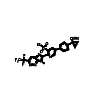 CCS(=O)(=O)c1cc(-c2ccc(C3(OC)CC3)cc2)cnc1-c1nc2cc(C(F)(F)C(F)(F)F)nnc2n1C